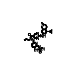 C=CCn1c(=O)c2cnc(Nc3cc4c(c(C5CC5)c3)CCN(C)C4)nc2n1-c1cccc(N=S(=O)(CC)CC)n1